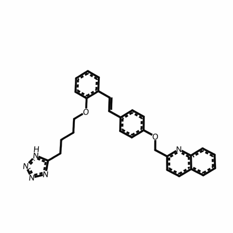 C(=C\c1ccccc1OCCCCc1nnn[nH]1)/c1ccc(OCc2ccc3ccccc3n2)cc1